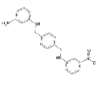 Nc1cccc(NCc2ccc(CNc3cccc([N+](=O)[O-])c3)cc2)c1